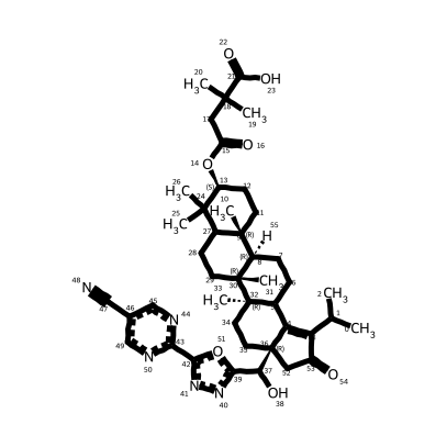 CC(C)C1=C2C3CC[C@@H]4[C@@]5(C)CC[C@H](OC(=O)CC(C)(C)C(=O)O)C(C)(C)C5CC[C@@]4(C)[C@]3(C)CC[C@@]2(C(O)c2nnc(-c3ncc(C#N)cn3)o2)CC1=O